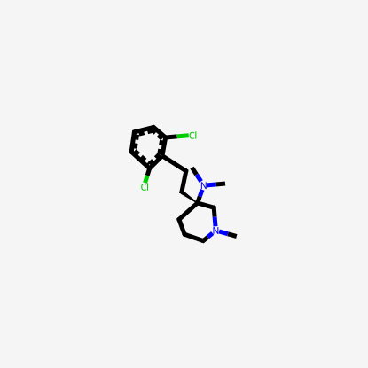 CN1CCC[C@](CCc2c(Cl)cccc2Cl)(N(C)C)C1